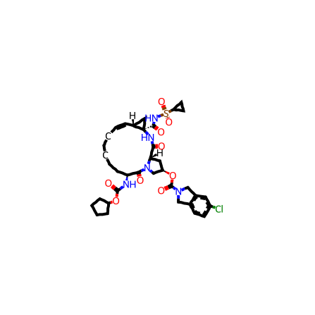 O=C(N[C@H]1CCCCC/C=C\[C@@H]2C[C@@]2(C(=O)NS(=O)(=O)C2CC2)NC(=O)[C@@H]2C[C@@H](OC(=O)N3Cc4ccc(Cl)cc4C3)CN2C1=O)OC1CCCC1